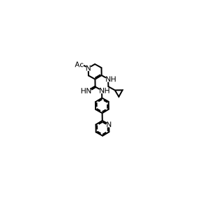 CC(=O)N1CCC(NCC2CC2)=C(C(=N)Nc2ccc(-c3ccccn3)cc2)C1